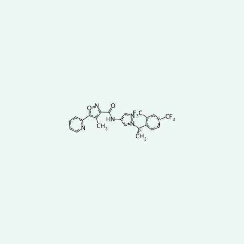 Cc1c(C(=O)Nc2cnn([C@H](C)c3ccc(C(F)(F)F)cc3C(F)(F)F)c2)noc1-c1ccccn1